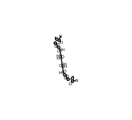 CN1Cc2c(C#N)cc(Cl)cc2[C@H](c2cccc(S(=O)(=O)N3CCC(NC(=O)CCCNC(=O)NCCCCNC(=O)NCCCC(=O)NC4CCN(S(=O)(=O)c5cccc([C@@H]6CN(C)Cc7c(C#N)cc(Cl)cc76)c5)CC4)CC3)c2)C1